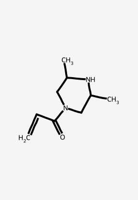 C=CC(=O)N1CC(C)NC(C)C1